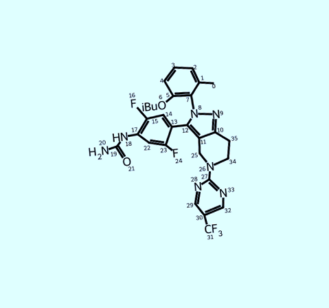 Cc1cccc(OCC(C)C)c1-n1nc2c(c1-c1cc(F)c(NC(N)=O)cc1F)CN(c1ncc(C(F)(F)F)cn1)CC2